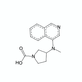 CN(c1cncc2ccccc12)C1CCN(C(=O)O)C1